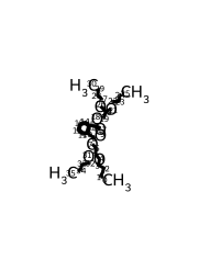 CCCCOC(COC(=O)c1ccccc1C(=O)OCC(OCCCC)OCCCC)OCCCC